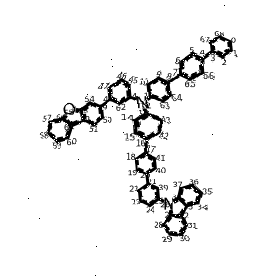 c1ccc(-c2ccc(-c3ccc(N(c4ccc(-c5ccc(-c6cccc(-n7c8ccccc8c8ccccc87)c6)cc5)cc4)c4cccc(-c5ccc6c(c5)oc5ccccc56)c4)cc3)cc2)cc1